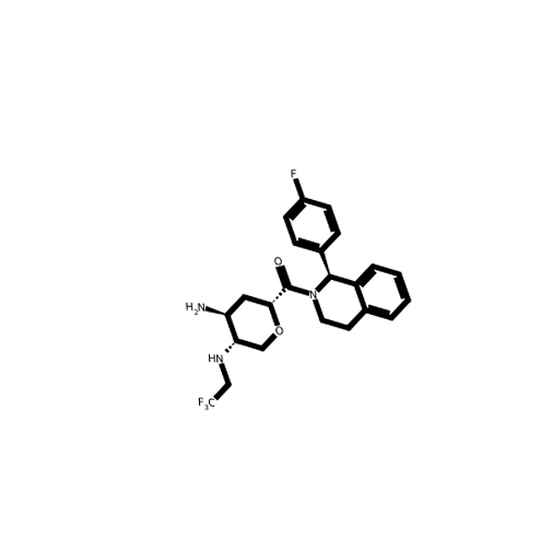 N[C@H]1C[C@H](C(=O)N2CCc3ccccc3[C@@H]2c2ccc(F)cc2)OC[C@@H]1NCC(F)(F)F